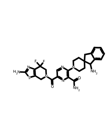 NC(=O)c1nc(C(=O)N2Cc3sc(N)nc3C(F)(F)C2)cnc1N1CCC2(CC1)Cc1ccccc1C2N